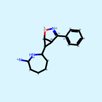 [N]C1CCCCC(C2C3ON=C(c4ccccc4)C32)N1